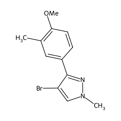 COc1ccc(-c2nn(C)cc2Br)cc1C